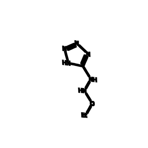 CCONNc1nnn[nH]1